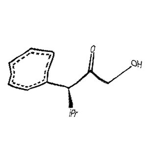 CC(C)[C@H](C(=O)CO)c1ccccc1